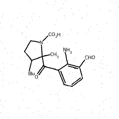 CC(C)(C)C1CCN(C(=O)O)C1(C)C(=O)c1cccc(C=O)c1N